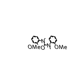 COc1ccccc1N(C)C(=O)N(C)c1ccccc1OC